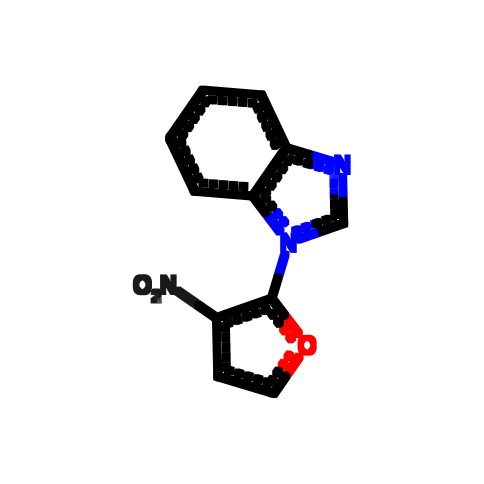 O=[N+]([O-])c1ccoc1-n1cnc2ccccc21